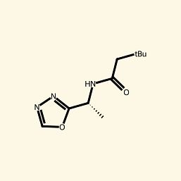 C[C@@H](NC(=O)CC(C)(C)C)c1nnco1